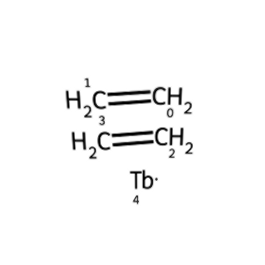 C=C.C=C.[Tb]